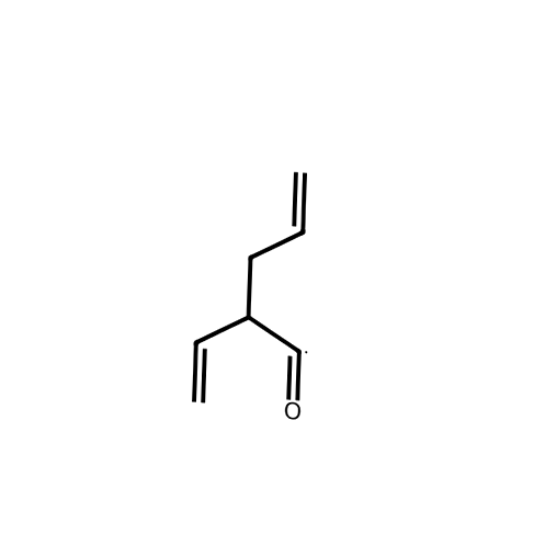 C=CCC([C]=O)C=C